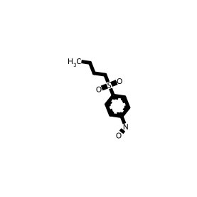 CCCCS(=O)(=O)c1ccc(N=O)cc1